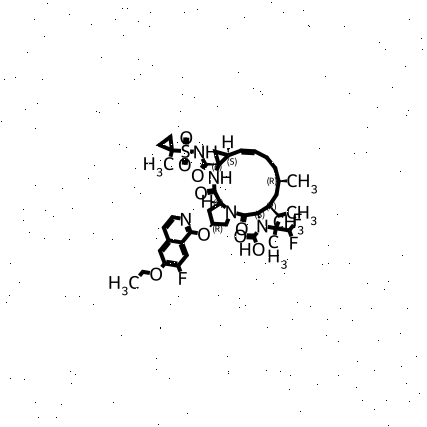 CCOc1cc2ccnc(O[C@@H]3C[C@H]4C(=O)N[C@]5(C(=O)NS(=O)(=O)C6(C)CC6)C[C@H]5C=CCC[C@@H](C)C[C@@H](CC)[C@H](N(C(=O)O)C(C)(C)C(F)F)C(=O)N4C3)c2cc1F